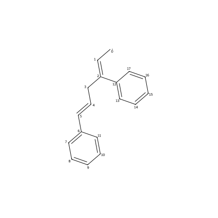 [CH2]C=C(C/C=C/c1ccccc1)c1ccccc1